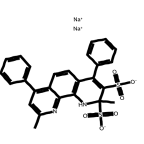 Cc1cc(-c2ccccc2)c2ccc3c(c2n1)NC(C)(S(=O)(=O)[O-])C(S(=O)(=O)[O-])=C3c1ccccc1.[Na+].[Na+]